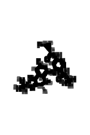 [2H]C([2H])([2H])NC(=O)c1nnc(NC(=O)[C@H]2C[C@@H]2F)cc1Nc1cc(F)cc2c1N(C)[C@H](C)c1nn(C([2H])([2H])[2H])nc1-2